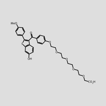 COc1ccc(-c2sc3cc(O)ccc3c2C(=O)c2ccc(OCCOCCOCCOCCOCC(=O)O)cc2)cc1